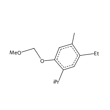 CCc1cc(C(C)C)c(OCOC)cc1C